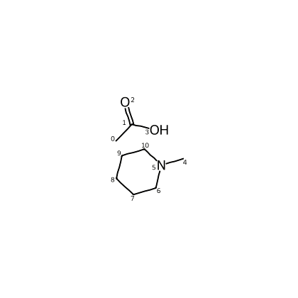 CC(=O)O.CN1CCCCC1